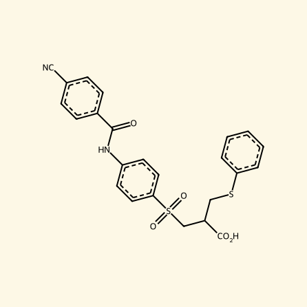 N#Cc1ccc(C(=O)Nc2ccc(S(=O)(=O)CC(CSc3ccccc3)C(=O)O)cc2)cc1